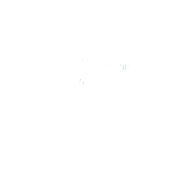 COc1cccc2c1cc(C(N)=O)c(=O)n2[C@@H]1C=CS(=O)(=O)C1